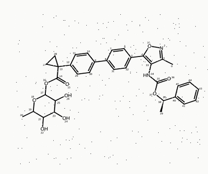 Cc1noc(-c2ccc(-c3ccc(C4(C(=O)OC5OC(C)C(O)C(O)C5O)CC4)cc3)cc2)c1NC(=O)O[C@H](C)c1ccccc1